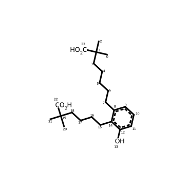 CC(C)(CCCCCc1cccc(O)c1CCCCC(C)(C)C(=O)O)C(=O)O